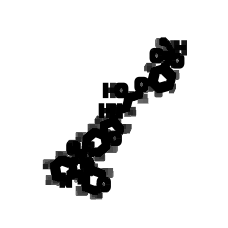 CNS(=O)(=O)c1cccc(OCC(O)CNC2COC3(CCN(S(=O)(=O)c4cccnc4N4CCOCC4)CC3)C2)c1